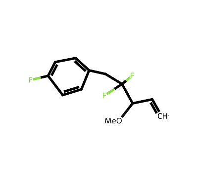 [CH]=CC(OC)C(F)(F)Cc1ccc(F)cc1